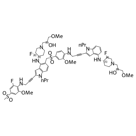 CCCn1c(C#CCNc2ccc(S(=O)(=O)Cc3ccc4c(cc(C#CCNc5c(F)cc(S(C)(=O)=O)cc5OC)n4CCC)c3N[C@H]3CCN(C[C@@H](O)COC)C[C@H]3F)cc2OC)cc2c(N[C@H]3CCN(C[C@@H](O)COC)C[C@H]3F)cccc21